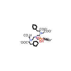 O=C([O-])CN(CCN(CCN(CC(=O)O)[C@@H](Cc1ccccc1)C(=O)[O-])CP(=O)(O)O)[C@@H](Cc1ccccc1)C(=O)[O-].[Na+].[Na+].[Na+]